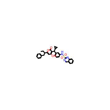 CCC(Cc1ccccc1)c1cc(O)c(C(c2cccc(NS(=O)(=O)c3ncc4ccccc4n3)c2)C2CC2)c(=O)o1